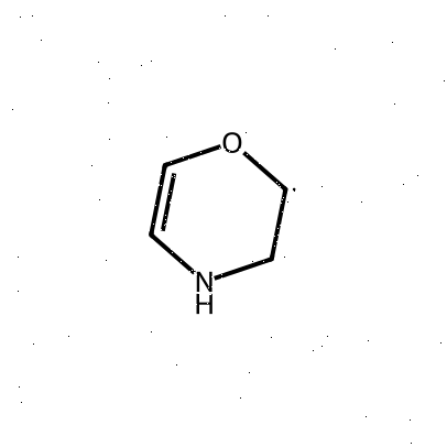 [CH]1CNC=CO1